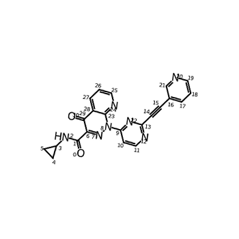 O=C(NC1CC1)c1nn(-c2ccnc(C#Cc3cccnc3)n2)c2ncccc2c1=O